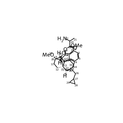 COc1ccc2c3c1O[C@H]1[C@@]4(OC)CC[C@@]5(C[C@@H]4COC(=O)C(C)N)[C@@H](C2)N(CC2CC2)CC[C@]315